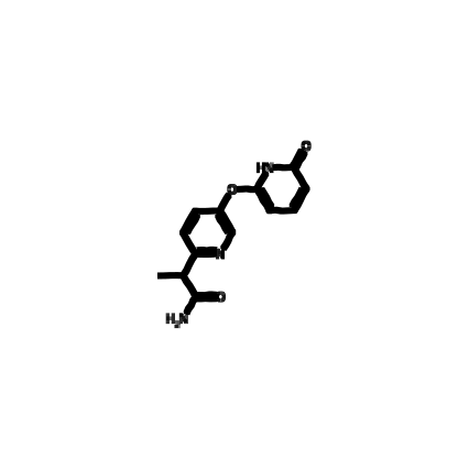 CC(C(N)=O)c1ccc(Oc2cccc(=O)[nH]2)cn1